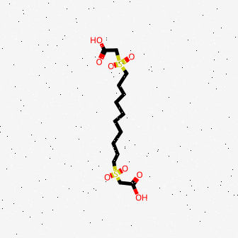 O=C(O)CS(=O)(=O)CCCCCCCCCCS(=O)(=O)CC(=O)O